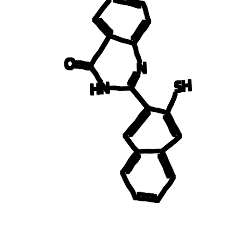 O=c1[nH]c(-c2cc3ccccc3cc2S)nc2ccccc12